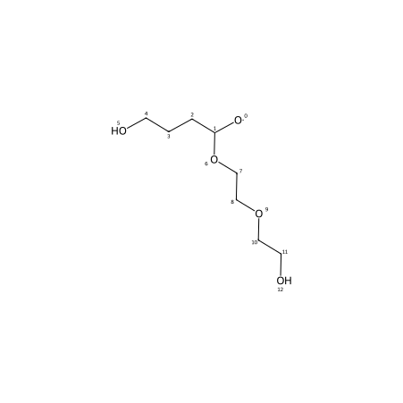 [O]C(CCCO)OCCOCCO